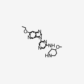 CCOc1cc2ncn(-c3cncc(N[C@H]4CNCC[C@@H]4OC)n3)c2cn1